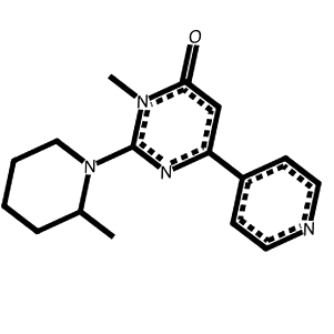 CC1CCCCN1c1nc(-c2ccncc2)cc(=O)n1C